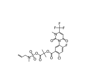 C=CCN(C)S(=O)(=O)OC(=O)C(C)(C)OC(=O)c1cc(-n2c(=O)cc(C(F)(F)F)n(C)c2=O)c(F)cc1Cl